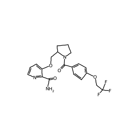 NC(=O)c1ncccc1OCC1CCCN1C(=O)c1ccc(OCC(F)(F)F)cc1